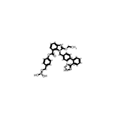 CCOc1nc2cccc(C(=O)Oc3ccc(CON(O)O)cc3)c2n1Cc1ccc(-c2ccccc2-c2nn[nH]n2)cc1